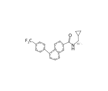 C[C@H](NC(=O)c1ccc2c(-c3ccc(C(F)(F)F)cc3)cccc2c1)C1CC1